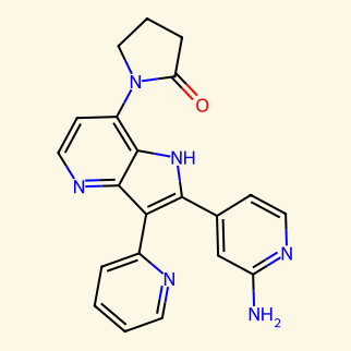 Nc1cc(-c2[nH]c3c(N4CCCC4=O)ccnc3c2-c2ccccn2)ccn1